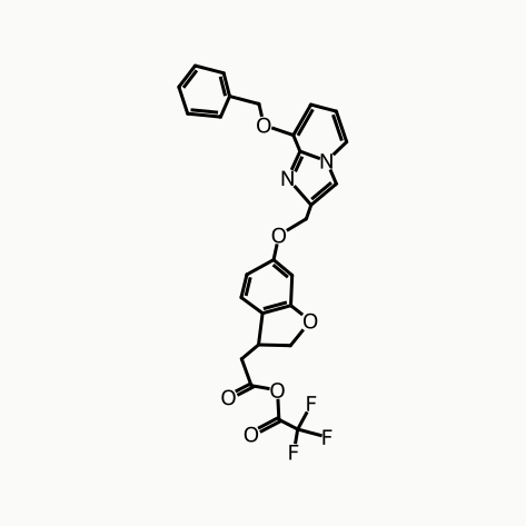 O=C(CC1COc2cc(OCc3cn4cccc(OCc5ccccc5)c4n3)ccc21)OC(=O)C(F)(F)F